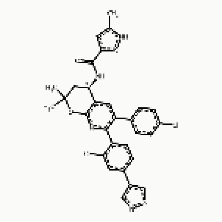 Cc1cc(C(=O)N[C@@H]2CC(C)(C)Oc3nc(-c4ccc(-c5cn[nH]c5)cc4Cl)c(-c4ccc(Cl)cc4)cc32)n[nH]1